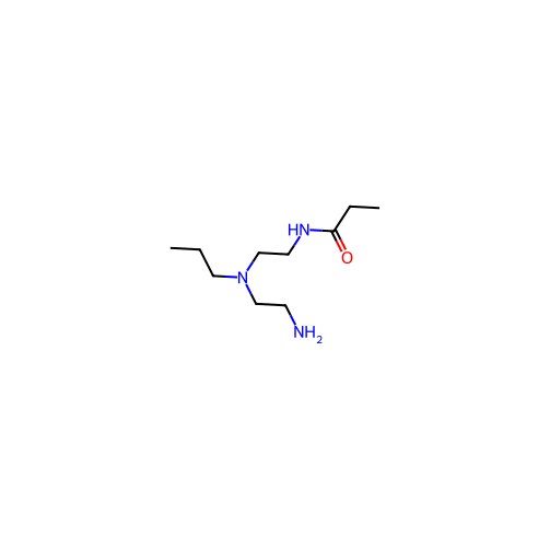 CCCN(CCN)CCNC(=O)CC